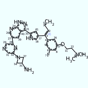 C=C/C=C(/c1cc(F)cc(OCCN(C)C)c1)c1c[nH]c(-c2n[nH]c3ncc(-c4cncc(N5CC(N)C5)n4)cc23)c1